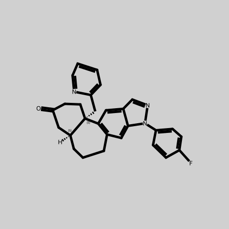 O=C1CC[C@@]2(Cc3ccccn3)c3cc4cnn(-c5ccc(F)cc5)c4cc3CCC[C@H]2C1